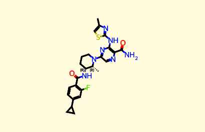 Cc1csc(Nc2nc(N3CCC[C@@H](NC(=O)c4ccc(C5CC5)cc4F)[C@H]3C)cnc2C(N)=O)n1